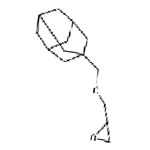 C1C2CC3CC1CC(COCC1CO1)(C2)C3